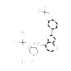 CC(C)(O)OC1C[C@@H](CO)C[C@H]1Nc1ccnc2cc(-c3cccc(OC(F)(F)F)c3)oc12